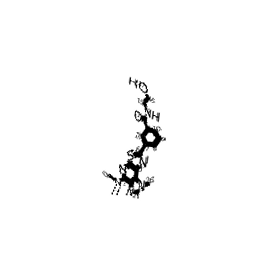 CNc1nc2sc(-c3cccc(C(=O)NCCO)c3)nc2c2c1ncn2C